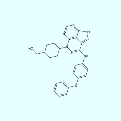 OCC1CCC(N2N=C(Nc3ccc(Oc4ccccc4)cc3)c3c[nH]c4ncnc2c34)CC1